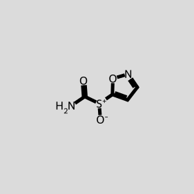 NC(=O)[S+]([O-])c1ccno1